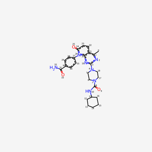 Cc1nc(N2CCN(C(=O)NC3CCCCC3)CC2)nc2c1ccc(=O)n2-c1ccc(C(N)=O)cc1